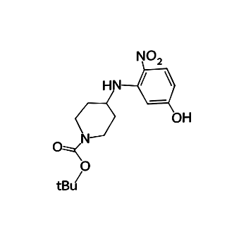 CC(C)(C)OC(=O)N1CCC(Nc2cc(O)ccc2[N+](=O)[O-])CC1